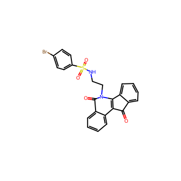 O=C1c2ccccc2-c2c1c1ccccc1c(=O)n2CCNS(=O)(=O)c1ccc(Br)cc1